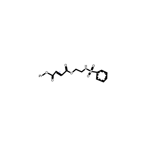 CC(C)OC(=O)/C=C/C(=O)OCCNS(=O)(=O)c1ccccc1